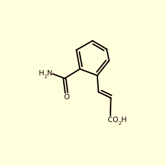 NC(=O)c1ccccc1C=CC(=O)O